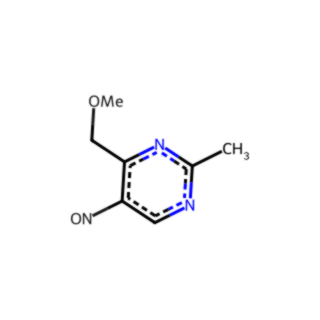 COCc1nc(C)ncc1N=O